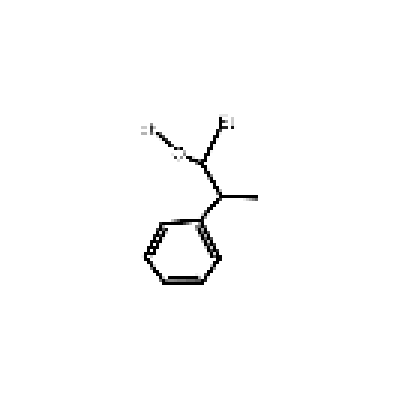 CCOC(CC)C(C)c1ccccc1